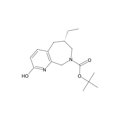 CC[C@H]1Cc2ccc(O)nc2CN(C(=O)OC(C)(C)C)C1